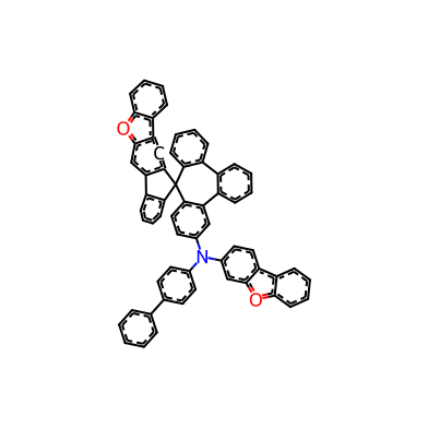 c1ccc(-c2ccc(N(c3ccc4c(c3)-c3ccccc3-c3ccccc3C43c4ccccc4-c4cc5oc6ccccc6c5cc43)c3ccc4c(c3)oc3ccccc34)cc2)cc1